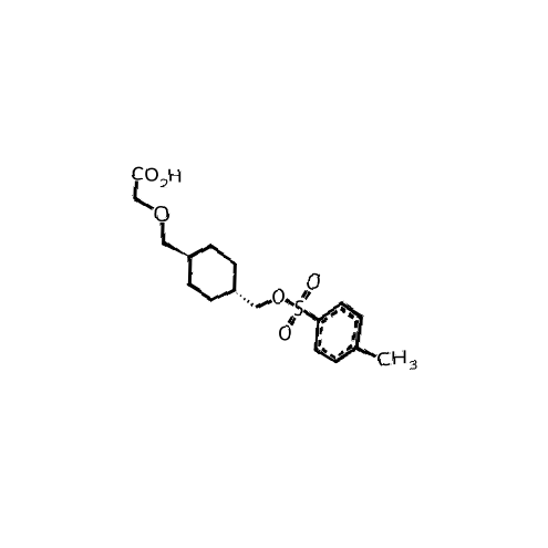 Cc1ccc(S(=O)(=O)OC[C@H]2CC[C@H](COCC(=O)O)CC2)cc1